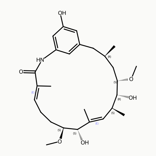 CO[C@H]1C[C@H](C)Cc2cc(O)cc(c2)NC(=O)/C(C)=C/CC[C@H](OC)[C@@H](O)/C(C)=C/[C@H](C)[C@H]1O